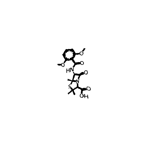 COc1cccc(OC)c1C(=O)N[C@@H]1C(=O)N2C(C(=O)O)C(C)(C)S[C@]12C